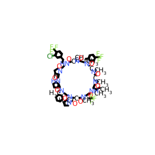 CC[C@H](C)[C@@H]1NC(=O)[C@H](CC(F)(F)F)N(C)C(=O)C[C@@H](C(=O)N2CCCC2)N(C)C(=O)[C@H](C2CCCCC2)N(C)C(=O)C2(CCCC2)NC(=O)[C@@H]2CCCN2C(=O)[C@H](CCc2ccc(C(F)(F)F)c(Cl)c2)NC(=O)CN(C)C(=O)[C@H](Cc2ccc(C(F)(F)F)cc2)N(C)C(=O)CN(C)C(=O)CN(C)C1=O